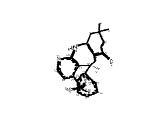 CC1(C)CC(=O)C2=C(C1)Nc1nccc(C(F)(F)F)c1[C@]2(C)c1ccccc1